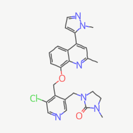 Cc1cc(-c2ccnn2C)c2cccc(OCc3c(Cl)cncc3CN3CCN(C)C3=O)c2n1